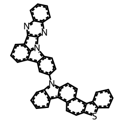 c1ccc2nc3c(nc2c1)c1cccc2c4cc(-n5c6ccccc6c6c7ccc8sc9ccccc9c8c7ccc65)ccc4n3c21